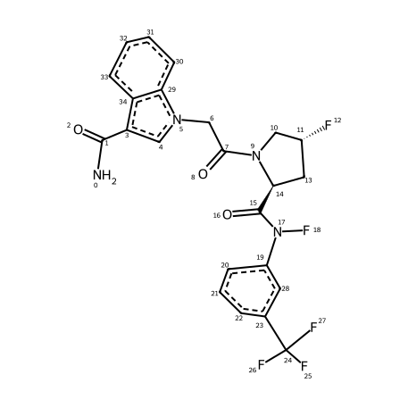 NC(=O)c1cn(CC(=O)N2C[C@H](F)C[C@H]2C(=O)N(F)c2cccc(C(F)(F)F)c2)c2ccccc12